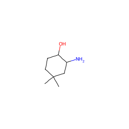 CC1(C)CCC(O)C(N)C1